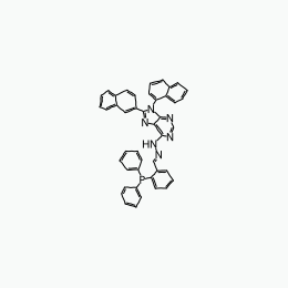 C(=NNc1ncnc2c1nc(-c1ccc3ccccc3c1)n2-c1cccc2ccccc12)c1ccccc1P(c1ccccc1)c1ccccc1